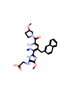 C=N/C(=C(\C=C(/N)C(=O)N1CCC(OC)C1)Cc1ccc2ccccc2c1)c1nc(OC)c(NCC(=O)O)[nH]1